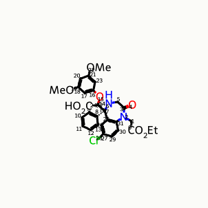 CCOC(=O)CN1C(=O)CN[C@](c2ccccc2)([C@H](Oc2cc(OC)cc(OC)c2)C(=O)O)c2cc(Cl)ccc21